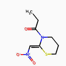 CCC(=O)N1CCCSC1=C[N+](=O)[O-]